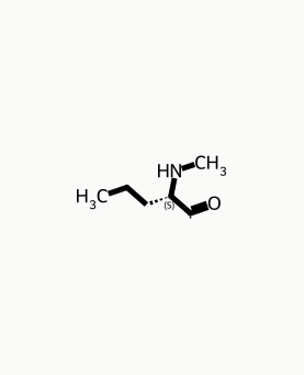 CCC[C@@H]([C]=O)NC